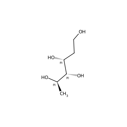 C[C@@H](O)[C@@H](O)[C@H](O)CCO